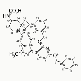 Cn1nc(-c2ccc(OCc3ccccc3)nc2OCc2ccccc2)c2ccc(N3CCC(NC(=O)O)CC34CCC4)cc21